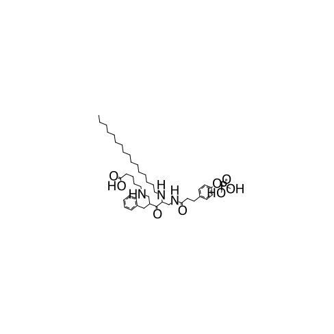 CCCCCCCCCCCCCCCCNC(CNC(=O)CCc1ccc(OP(=O)(O)O)cc1)C(=O)C(CNCCCCC(=O)O)Cc1ccccc1